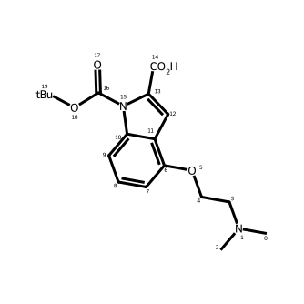 CN(C)CCOc1cccc2c1cc(C(=O)O)n2C(=O)OC(C)(C)C